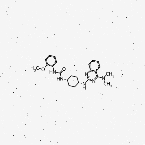 COc1ccccc1NC(=O)N[C@H]1CC[C@@H](Nc2nc(N(C)C)c3ccccc3n2)CC1